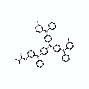 C=C(C)C(=O)Oc1cccc(N(c2ccccc2)c2ccc(N(c3ccc(N(C4=CC(C)CC=C4)c4ccccc4)cc3)c3ccc(N(c4ccccc4)c4cccc(C)c4)cc3)cc2)c1